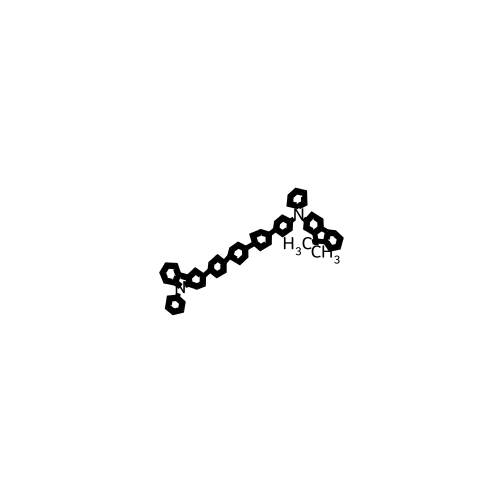 CC1(C)c2ccccc2-c2ccc(N(c3ccccc3)c3ccc(-c4ccc(-c5ccc(-c6ccc(-c7ccc8c(c7)c7ccccc7n8-c7ccccc7)cc6)cc5)cc4)cc3)cc21